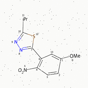 COc1ccc([N+](=O)[O-])c(-c2nnc(C(C)C)s2)c1